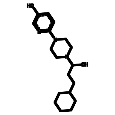 Oc1ccc(N2CCN(C(O)CCC3CCCCC3)CC2)nc1